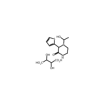 CC(O)N1CCNC(=O)C1c1cccs1.O=C(O)C(O)C(O)C(=O)O